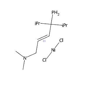 CC(C)C(P)(/C=C/CN(C)C)C(C)C.[Cl][Ni][Cl]